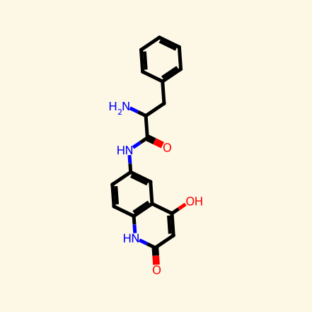 NC(Cc1ccccc1)C(=O)Nc1ccc2[nH]c(=O)cc(O)c2c1